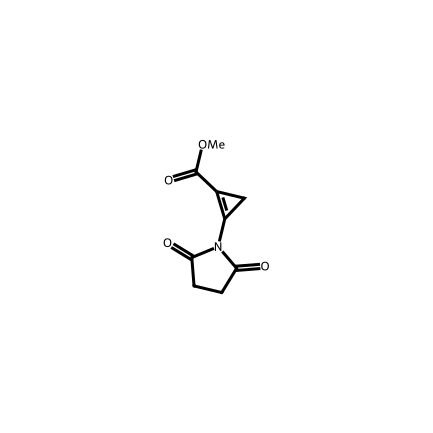 COC(=O)C1=C(N2C(=O)CCC2=O)C1